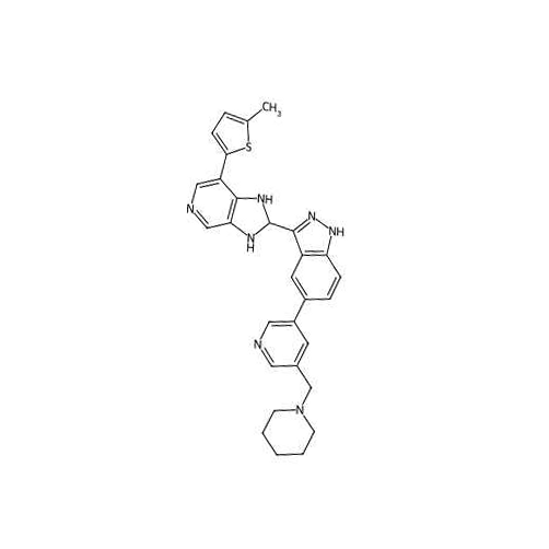 Cc1ccc(-c2cncc3c2NC(c2n[nH]c4ccc(-c5cncc(CN6CCCCC6)c5)cc24)N3)s1